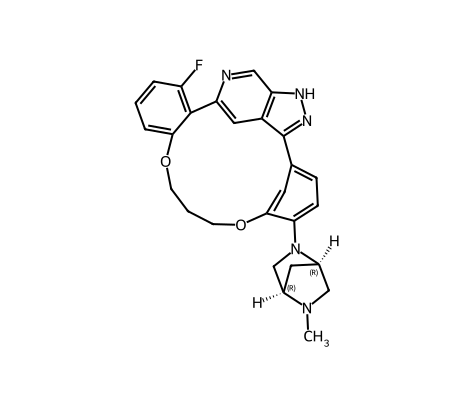 CN1C[C@H]2C[C@@H]1CN2c1ccc2cc1OCCCOc1cccc(F)c1-c1cc3c-2n[nH]c3cn1